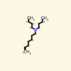 C=CCCCCCN(CCCC)CCCC